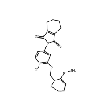 COC1=CCCSC1COc1cc(N2C(=O)C3=C(CCCC3)C2=O)ccc1Cl